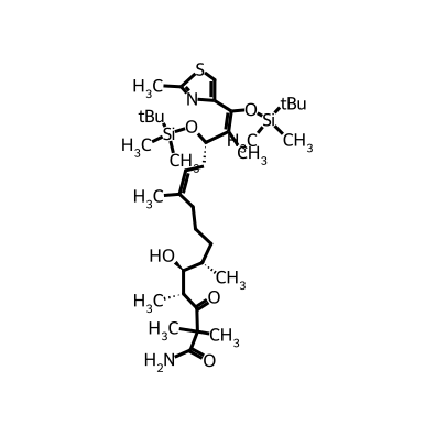 CC(=CC[C@H](O[Si](C)(C)C(C)(C)C)C(C)=C(O[Si](C)(C)C(C)(C)C)c1csc(C)n1)CCC[C@H](C)[C@H](O)[C@@H](C)C(=O)C(C)(C)C(N)=O